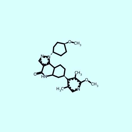 COc1ncc(C)c([C@@H]2CCC3c4c(cnn4[C@H]4CC[C@H](OC)CC4)C(=O)NC3C2)c1C